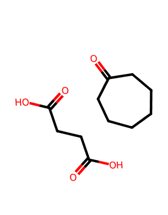 O=C(O)CCC(=O)O.O=C1CCCCCC1